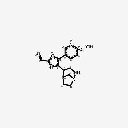 Cl.Cl.O=Cc1nc(C2CNN3CCC2C3)c(-c2cccnc2)o1